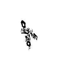 O=c1c(NCCCn2ccnc2)c(N2CCN(S(=O)(=O)c3ccc(F)cc3)CC2)cnn1-c1ccccc1